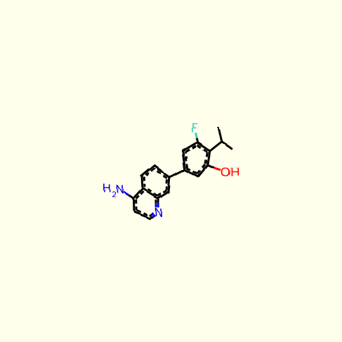 CC(C)c1c(O)cc(-c2ccc3c(N)ccnc3c2)cc1F